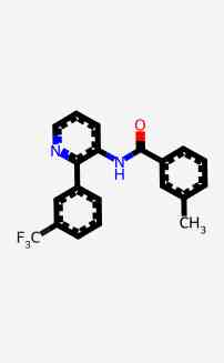 Cc1cccc(C(=O)Nc2cccnc2-c2cccc(C(F)(F)F)c2)c1